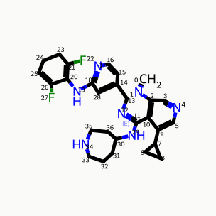 C=Nc1cncc(C2CC2)c1/C(=N\Cc1ccnc(NC2=C(F)CCC=C2F)c1)NC1CCCNCC1